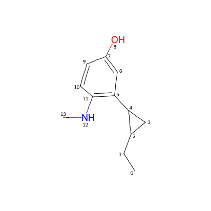 CCC1CC1c1cc(O)ccc1NC